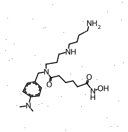 CN(C)c1ccc(CN(CCCNCCCCN)C(=O)CCCCC(=O)NO)cc1